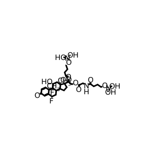 C[C@]12C=CC(=O)C=C1[C@@H](F)CC1C3CC[C@](OC(=O)CCCON(O)O)(C(=O)COC(=O)CNC(=O)CCCON(O)O)[C@@]3(C)C[C@H](O)[C@@]12F